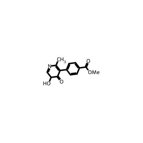 COC(=O)c1ccc(C2=C(C)N=CC(O)C2=O)cc1